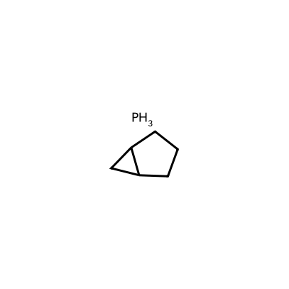 C1CC2CC2C1.P